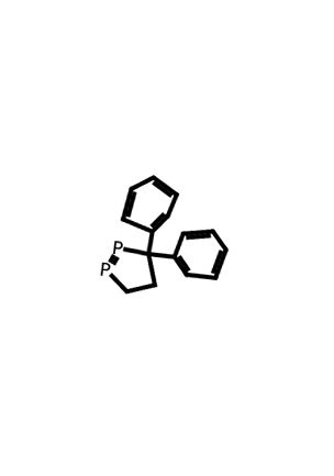 c1ccc(C2(c3ccccc3)CCP=P2)cc1